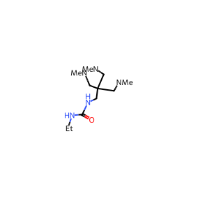 CCNC(=O)NCC(CNC)(CNC)CNC